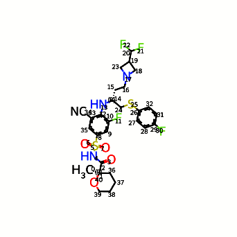 C[C@]1(C(=O)NS(=O)(=O)c2cc(F)c(N[C@H](CCN3CC(C(F)F)C3)CSc3ccc(F)cc3)c(C#N)c2)CCCCO1